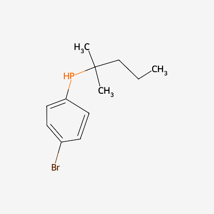 CCCC(C)(C)Pc1ccc(Br)cc1